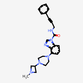 CN1CC(N2CCN(c3cccc4c3ncn4C(=O)NCC#Cc3ccccc3)CC2)C1